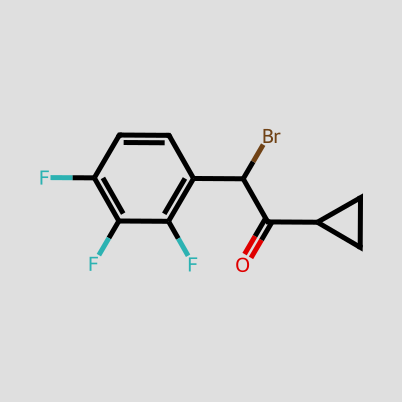 O=C(C1CC1)C(Br)c1ccc(F)c(F)c1F